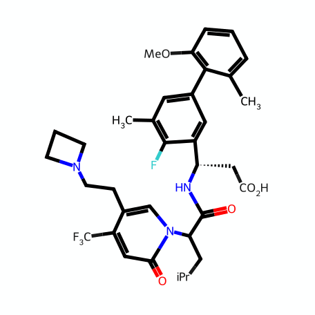 COc1cccc(C)c1-c1cc(C)c(F)c([C@H](CC(=O)O)NC(=O)C(CC(C)C)n2cc(CCN3CCC3)c(C(F)(F)F)cc2=O)c1